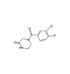 O=C1CN(C(=O)c2ccc(F)c(Cl)c2)CCN1